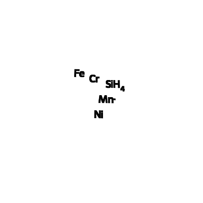 [Cr].[Fe].[Mn].[Ni].[SiH4]